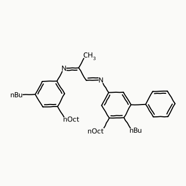 CCCCCCCCc1cc(CCCC)cc(N=C(C)C=Nc2cc(CCCCCCCC)c(CCCC)c(-c3ccccc3)c2)c1